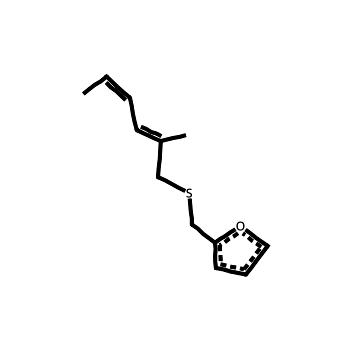 C/C=C\C=C(/C)CSCc1ccco1